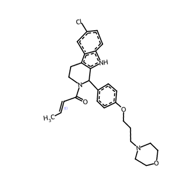 C/C=C/C(=O)N1CCc2c([nH]c3ccc(Cl)cc23)C1c1ccc(OCCCN2CCOCC2)cc1